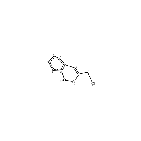 ClCC1=Cc2ccccc2OO1